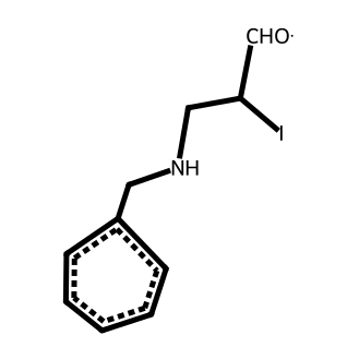 O=[C]C(I)CNCc1ccccc1